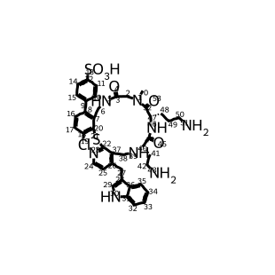 CN1CC(=O)NCc2c(-c3ccc(S(=O)(=O)O)cc3)ccc(Cl)c2Sc2nccc(Cc3c[nH]c4ccccc34)c2CN[C@@H](CCN)C(=O)N[C@@H](CCCN)C1=O